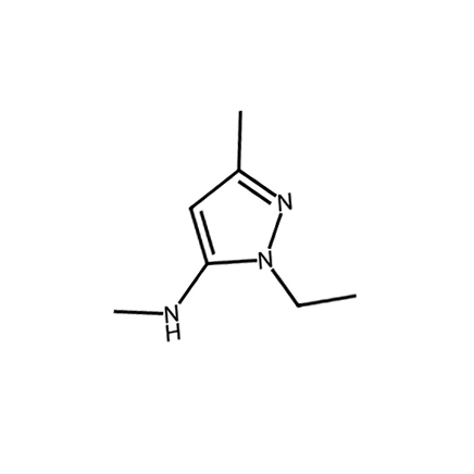 CCn1nc(C)cc1NC